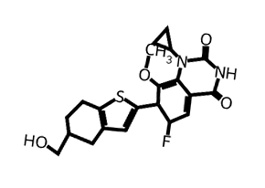 COC1=c2c(c(=O)[nH]c(=O)n2C2CC2)=CC(F)C1c1cc2c(s1)CCC(CO)C2